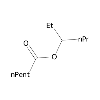 [CH2]CCC(C[CH2])OC(=O)CCCCC